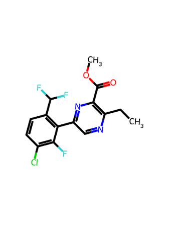 CCc1ncc(-c2c(C(F)F)ccc(Cl)c2F)nc1C(=O)OC